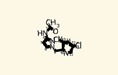 CC(=O)Nc1ccn(Cc2ncc(Cl)cc2Cl)n1